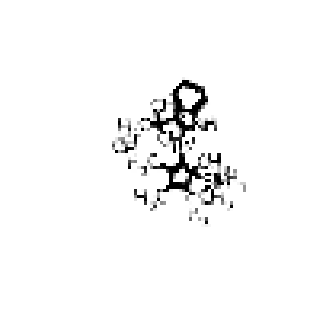 CC1=C(C)C(C)([SiH](C)C)[C]([Ti+2][c]2[nH]c3ccccc3c2C(C)(C)C)=C1C.[Cl-].[Cl-]